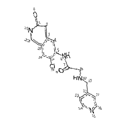 O=C1C=c2cc(NC(=O)CNCc3ccncc3)c(Cl)cc2=C[N]1